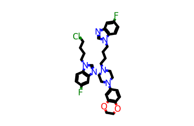 Fc1ccc2c(c1)ncn2CCCCCl.Fc1ccc2c(c1)ncn2CCCCN1CCN(c2ccc3c(c2)OCCO3)CC1